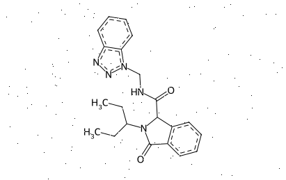 CCC(CC)N1C(=O)c2ccccc2C1C(=O)NCn1nnc2ccccc21